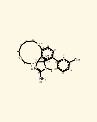 CN1C(=O)[C@@]2(CCOCCCCOc3ccc(-c4cccc(Cl)n4)cc32)N=C1N